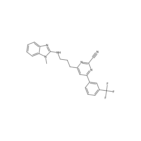 Cn1c(NCCCc2cc(-c3cccc(C(F)(F)F)c3)nc(C#N)n2)nc2ccccc21